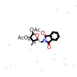 CC(=O)OC1O[C@H](CN2C(=O)c3ccccc3C2=O)[C@@H](C)[C@H]1OC(C)=O